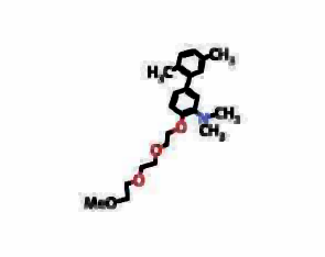 COCCOCCOCCOc1ccc(-c2cc(C)ccc2C)cc1N(C)C